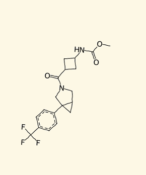 COC(=O)NC1CC(C(=O)N2CC3CC3(c3ccc(C(F)(F)F)cc3)C2)C1